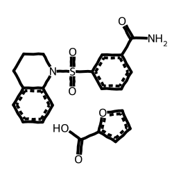 NC(=O)c1cccc(S(=O)(=O)N2CCCc3ccccc32)c1.O=C(O)c1ccco1